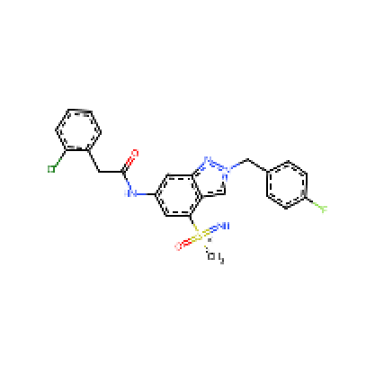 C[S@](=N)(=O)c1cc(NC(=O)Cc2ccccc2Cl)cc2nn(Cc3ccc(F)cc3)cc12